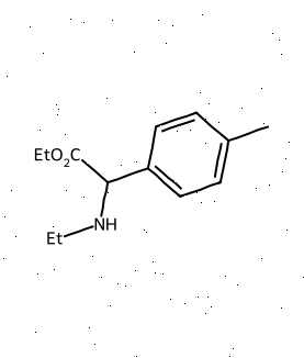 CCNC(C(=O)OCC)c1ccc(C)cc1